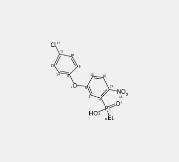 CCP(=O)(O)c1cc(Oc2ccc(Cl)cc2)ccc1[N+](=O)[O-]